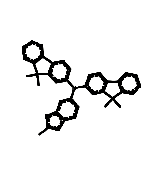 Cc1cc2ccc(N(c3ccc4c(c3)C(C)(C)c3ccccc3-4)c3ccc4c(c3)C(C)(C)c3ccccc3-4)cc2s1